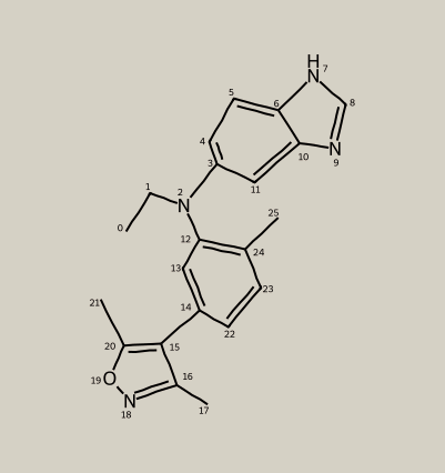 CCN(c1ccc2[nH]cnc2c1)c1cc(-c2c(C)noc2C)ccc1C